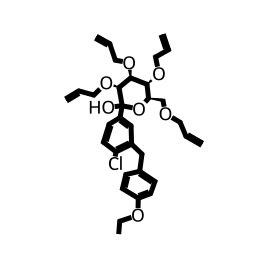 C=CCOC[C@H]1OC(O)(c2ccc(Cl)c(Cc3ccc(OCC)cc3)c2)[C@H](OCC=C)[C@@H](OCC=C)[C@@H]1OCC=C